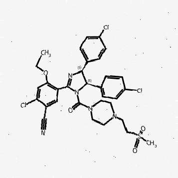 CCOc1cc(Cl)c(C#N)cc1C1=N[C@@H](c2ccc(Cl)cc2)[C@@H](c2ccc(Cl)cc2)N1C(=O)N1CCN(CCS(C)(=O)=O)CC1